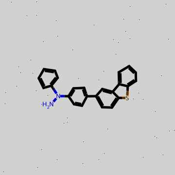 NN(c1ccccc1)c1ccc(-c2ccc3sc4ccccc4c3c2)cc1